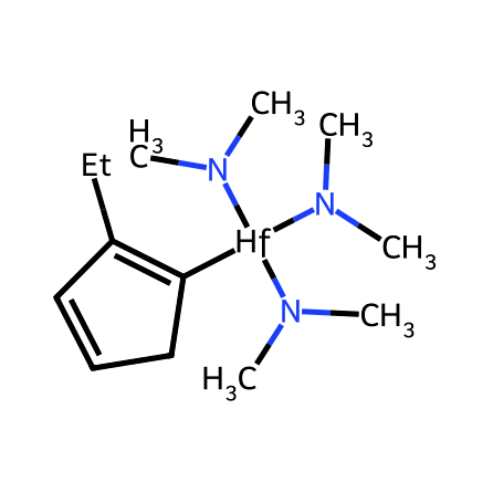 CCC1=[C]([Hf]([N](C)C)([N](C)C)[N](C)C)CC=C1